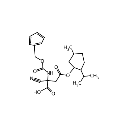 CC1CCC(C(C)C)C(OC(=O)CC(C#N)(NC(=O)OCc2ccccc2)C(=O)O)C1